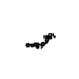 CC(=O)NC1CCN(Cc2ccc(CCn3ccc(OCc4ccccc4)cc3=O)c(F)c2)CC1